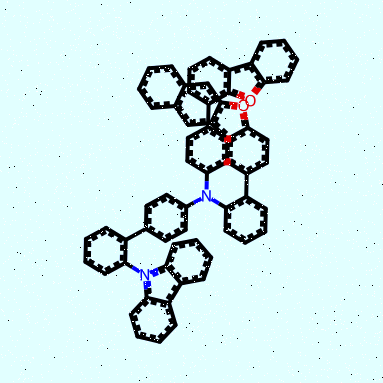 c1ccc(N(c2ccc(-c3ccccc3-n3c4ccccc4c4ccccc43)cc2)c2ccc(-c3cccc4c3oc3ccccc34)cc2)c(-c2ccc3oc4cc5ccccc5cc4c3c2)c1